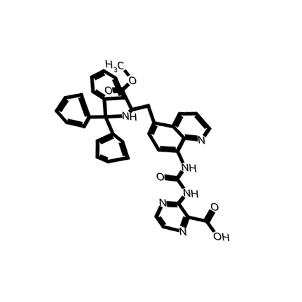 COC(=O)C(Cc1ccc(NC(=O)Nc2nccnc2C(=O)O)c2ncccc12)NC(c1ccccc1)(c1ccccc1)c1ccccc1